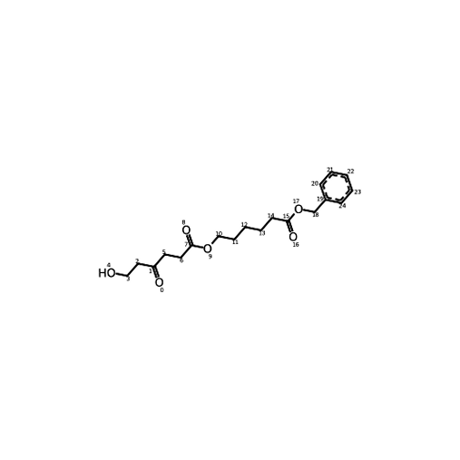 O=C(CCO)CCC(=O)OCCCCCC(=O)OCc1ccccc1